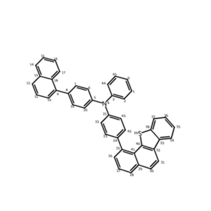 c1ccc(N(c2ccc(-c3cccc4ccccc34)cc2)c2ccc(-c3cccc4ccc5c6ccccc6sc5c34)cc2)cc1